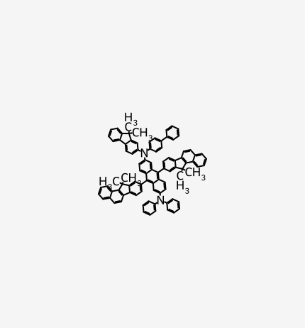 CC1(C)c2ccccc2-c2ccc(N(c3ccc(-c4ccccc4)cc3)c3ccc4c(-c5ccc6c(c5)C(C)(C)c5c-6ccc6ccccc56)c5cc(N(c6ccccc6)c6ccccc6)ccc5c(-c5ccc6c(c5)C(C)(C)c5c-6ccc6ccccc56)c4c3)cc21